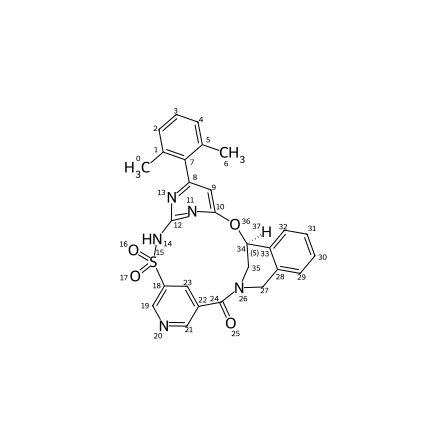 Cc1cccc(C)c1-c1cc2nc(n1)NS(=O)(=O)c1cncc(c1)C(=O)N1Cc3ccccc3[C@@H](C1)O2